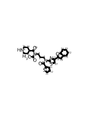 CC(=O)N(CCCN(C(=O)c1cccs1)c1nc(-c2cc3ccccc3o2)cs1)C(=O)C1CCNCC1